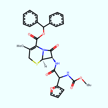 COC1=C(C(=O)OC(c2ccccc2)c2ccccc2)N2C(=O)[C@@H](NC(=O)C(NC(=O)OC(C)(C)C)c3ccco3)[C@H]2SC1